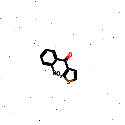 O=C(c1ccsc1)c1ccccc1[N+](=O)[O-]